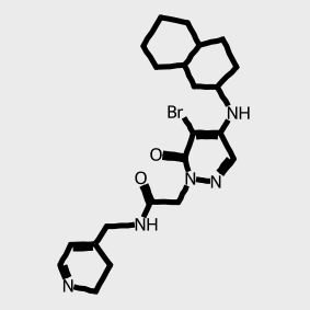 O=C(Cn1ncc(NC2CCC3CCCCC3C2)c(Br)c1=O)NCC1=CC=NCC1